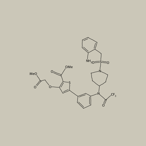 COC(=O)COc1cc(-c2cccc(N(C(=O)C(F)(F)F)C3CCN(S(=O)(=O)Cc4ccccc4N)CC3)c2)sc1C(=O)OC